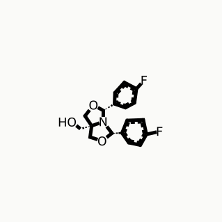 OC[C@]12CO[C@H](c3ccc(F)cc3)N1[C@H](c1ccc(F)cc1)OC2